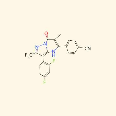 Cc1c(-c2ccc(C#N)cc2)[nH]c2c(-c3ccc(F)cc3F)c(C(F)(F)F)nn2c1=O